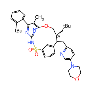 Cc1c2nc(nc1-c1ccccc1C(C)(C)C)NS(=O)(=O)c1cccc(c1)C(Cc1ccc(N3CCOCC3)cn1)[C@H](CC(C)(C)C)CO2